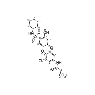 O=C(O)CC(=O)Nc1cc(Cl)c(Oc2ccc(O)c(S(=O)(=O)NC3CCCCC3)c2)c(Cl)c1